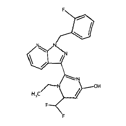 CCN1C(c2nn(Cc3ccccc3F)c3ncccc23)=NC(O)=[C]C1C(F)F